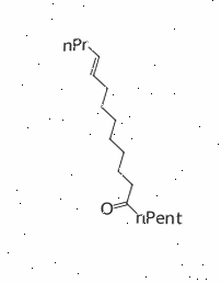 CCCC=CCCCCCCCC(=O)CCCCC